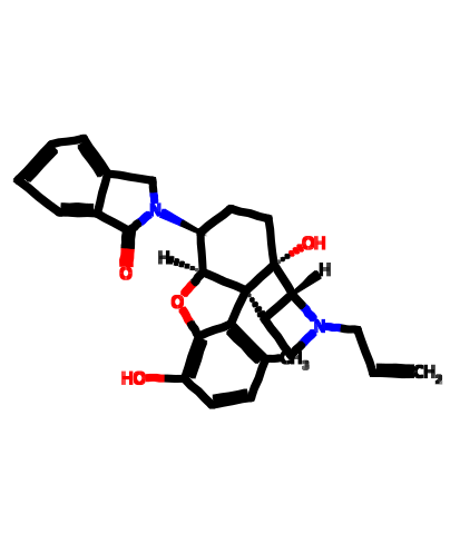 C=CCN1CC2[C@@H]1[C@]1(O)CC[C@H](N3Cc4ccccc4C3=O)[C@@H]3Oc4c(O)ccc(C)c4[C@@]231